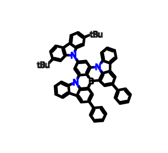 CC(C)(C)c1ccc2c3ccc(C(C)(C)C)cc3n(-c3cc4c5c(c3)-n3c6ccccc6c6cc(-c7ccccc7)cc(c63)B5c3cc(-c5ccccc5)cc5c6ccccc6n-4c35)c2c1